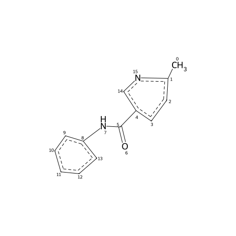 Cc1ccc(C(=O)Nc2ccccc2)cn1